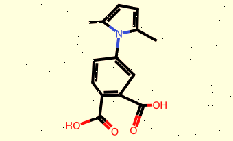 Cc1ccc(C)n1-c1ccc(C(=O)O)c(C(=O)O)c1